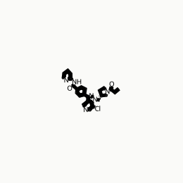 C=CC(=O)N1CC[C@@H](Cn2nc(-c3ccc(C(=O)Nc4ccccn4)cc3)c3cncc(Cl)c32)C1